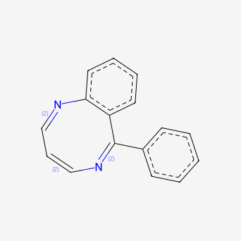 C1=C\N=C(\c2ccccc2)c2ccccc2\N=C/1